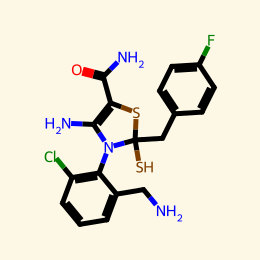 NCc1cccc(Cl)c1N1C(N)=C(C(N)=O)SC1(S)Cc1ccc(F)cc1